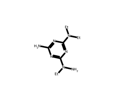 CCN(N)c1nc(N)nc(N(CC)CC)n1